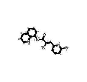 N#C/C(=C\c1cccc(Br)n1)C(=O)Nc1cccc2cccnc12